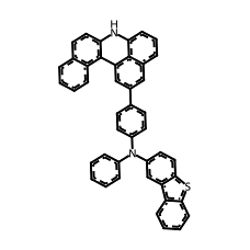 c1ccc(N(c2ccc(-c3cc4c5c(cccc5c3)Nc3ccc5ccccc5c3-4)cc2)c2ccc3sc4ccccc4c3c2)cc1